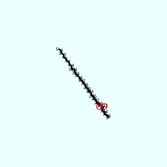 CCCCCCCCCCCCCCCCCCCCCCCCCCCCCCOC(=O)CCCCC